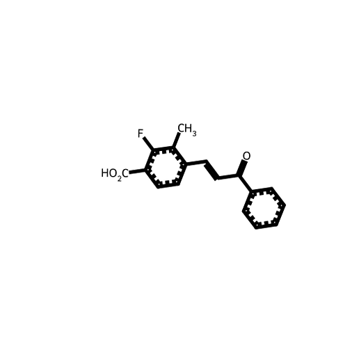 Cc1c(C=CC(=O)c2ccccc2)ccc(C(=O)O)c1F